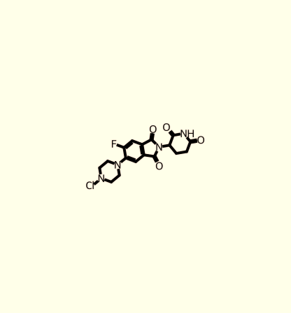 O=C1CCC(N2C(=O)c3cc(F)c(N4CCN(Cl)CC4)cc3C2=O)C(=O)N1